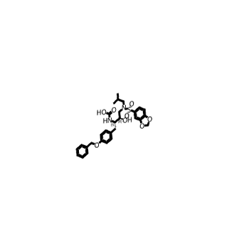 CC(C)CN(C[C@@H](O)[C@H](Cc1ccc(OCc2ccccc2)cc1)NC(=O)O)S(=O)(=O)c1ccc2c(c1)OCO2